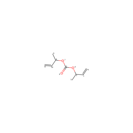 C=CC(C)OC(=O)OC(C)C=C